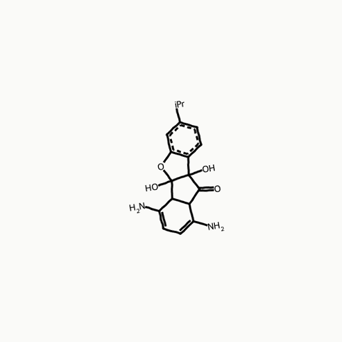 CC(C)c1ccc2c(c1)OC1(O)C3C(N)=CC=C(N)C3C(=O)C21O